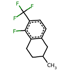 CC1CCc2c(ccc(C(F)(F)F)c2F)C1